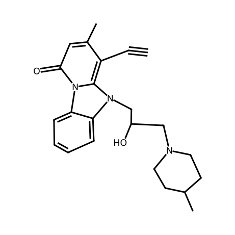 C#Cc1c(C)cc(=O)n2c3ccccc3n(CC(O)CN3CCC(C)CC3)c12